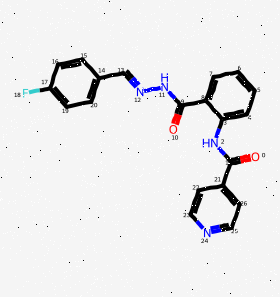 O=C(Nc1ccccc1C(=O)N/N=C/c1ccc(F)cc1)c1ccncc1